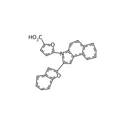 O=C(O)c1ccc(-n2c(-c3cc4ccccc4o3)cc3c4ccccc4ccc32)o1